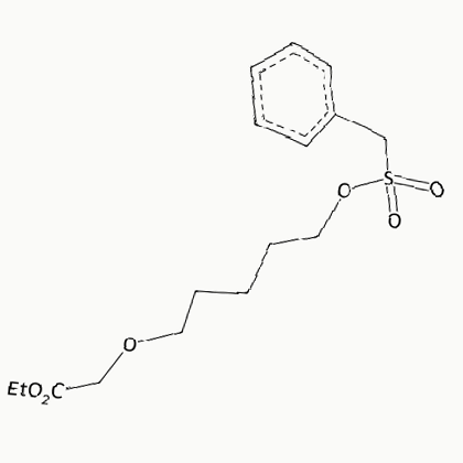 CCOC(=O)COCCCCCOS(=O)(=O)Cc1ccccc1